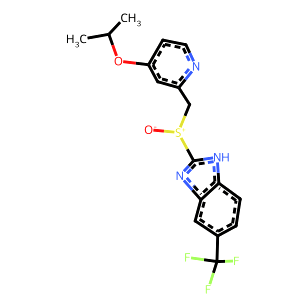 CC(C)Oc1ccnc(C[S+]([O-])c2nc3cc(C(F)(F)F)ccc3[nH]2)c1